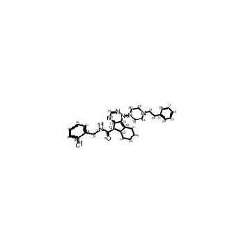 O=C(NCc1ccccc1Cl)c1c2ncnn(N3CCN(CCc4ccccc4)CC3)c-2c2c1CCCC2